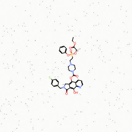 CCOC(=O)[C@H](C)OP(=O)(CCN1CCN(C(=O)Oc2c3c(c(O)c4ncccc24)C(=O)N(Cc2ccc(F)cc2)C3)CC1)Oc1ccccc1